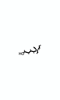 CC[N+](C)(C)CCCCO